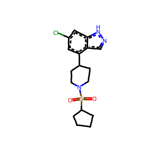 O=S(=O)(C1CCCC1)N1CCC(c2cc(Cl)cc3[nH]ncc23)CC1